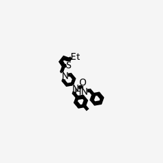 CCc1ccc(CN2CCC(N(Cc3ccc(C)cc3)C(=O)NCc3ccccc3)CC2)s1